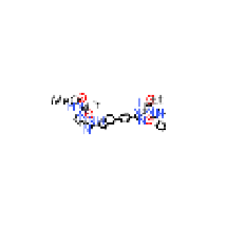 CCO[C@H]1C[C@@H](c2ncc(-c3ccc(-c4ccc5cc(-c6cnc([C@@H]7CCCN7C(=O)[C@@H](NC(=O)OC)C(C)C)[nH]6)ccc5c4)cc3)[nH]2)N(C(=O)C(c2ccccc2)N(C)C)C1